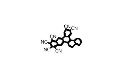 N#Cc1cc2c3cc4c(C#N)c(C#N)c(C#N)c(C#N)c4cc3c3ccc4ccccc4c3c2cc1C#N